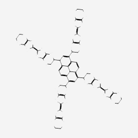 C1=CC2=C(C3CSC4=C(SC(=C5SC6=C(SCCS6)S5)S4)S3)C=C(C3CSC4=C(SC(=C5SC6=C(SCCS6)S5)S4)S3)C3=CC=C4C(=C1C(C1CSC5=C(SC(=C6SC7=C(SCCS7)S6)S5)S1)=CC4C1CSC4=C(SC(=C5SC6=C(SCCS6)S5)S4)S1)C32